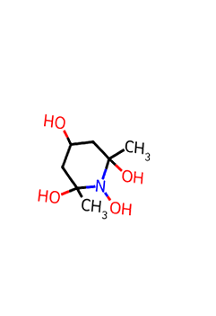 CC1(O)CC(O)CC(C)(O)N1O